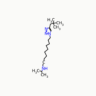 CC(C)NCCCCCCCCCCn1cc(CC(C)(C)C)nn1